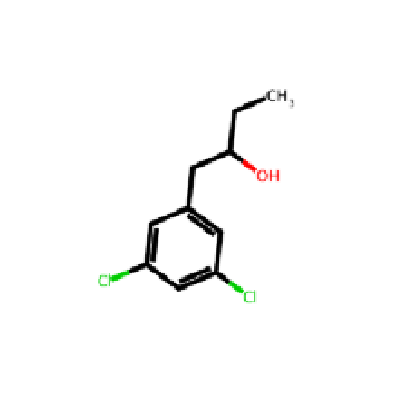 CCC(O)Cc1cc(Cl)cc(Cl)c1